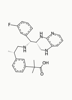 C[C@H](CN[C@H](c1cccc(F)c1)[C@H]1CNc2cccnc2N1)c1cccc(C(C)(C)C(=O)O)c1